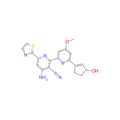 COc1cc(C2=CC(O)CC2)nc(-c2nc(-c3nccs3)cc(N)c2C#N)c1